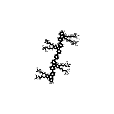 C[N+](C)(C)CCCCCCC1(CCCCCC[N+](C)(C)C)c2ccccc2-c2ccc(-c3ccc4c(c3)C(CCCCCC[N+](C)(C)C)(CCCCCC[N+](C)(C)C)c3cc(-c5ccc(-c6ccc7c(c6)C(CCCCCC[N+](C)(C)C)(CCCCCC[N+](C)(C)C)c6cc(-c8ccc9c(c8)C(CCCCCC[N+](C)(C)C)(CCCCCC[N+](C)(C)C)c8ccccc8-9)ccc6-7)cc5)ccc3-4)cc21